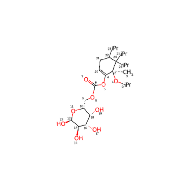 CC(C)O[C@@]1(C)C(OC(=O)OC[C@H]2O[C@H](O)[C@H](O)[C@@H](O)[C@H]2O)=CCC(C(C)C)C1(C(C)C)C(C)C